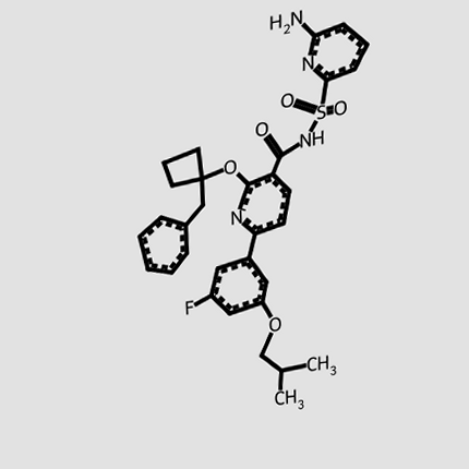 CC(C)COc1cc(F)cc(-c2ccc(C(=O)NS(=O)(=O)c3cccc(N)n3)c(OC3(Cc4ccccc4)CCC3)n2)c1